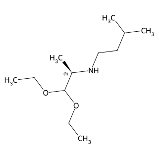 CCOC(OCC)[C@@H](C)NCCC(C)C